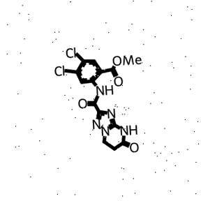 COC(=O)c1cc(Cl)c(Cl)cc1NC(=O)c1nc2n(n1)CCC(=O)N2